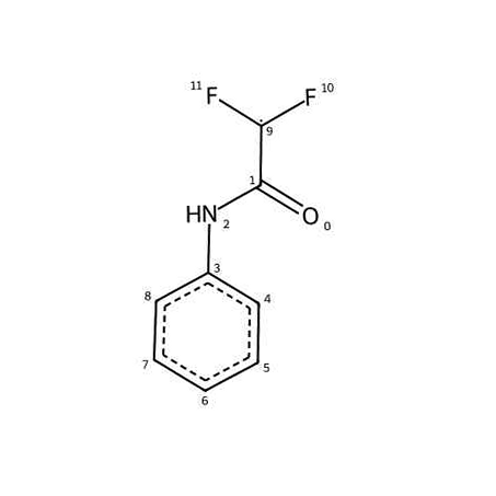 O=C(Nc1ccccc1)[C](F)F